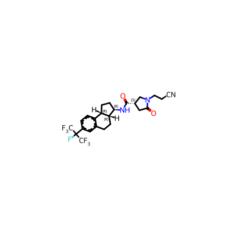 N#CCCN1C[C@@H](C(=O)N[C@@H]2CC[C@H]3c4ccc(C(F)(C(F)(F)F)C(F)(F)F)cc4CC[C@@H]23)CC1=O